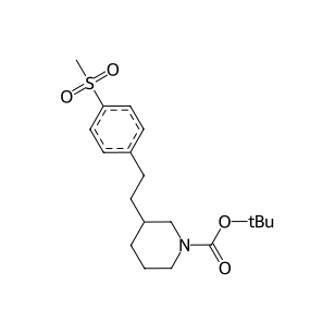 CC(C)(C)OC(=O)N1CCCC(CCc2ccc(S(C)(=O)=O)cc2)C1